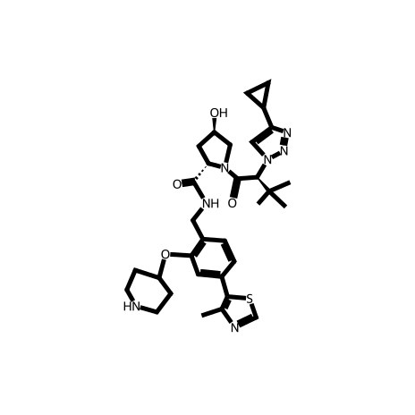 Cc1ncsc1-c1ccc(CNC(=O)[C@@H]2C[C@@H](O)CN2C(=O)[C@@H](n2cc(C3CC3)nn2)C(C)(C)C)c(OC2CCNCC2)c1